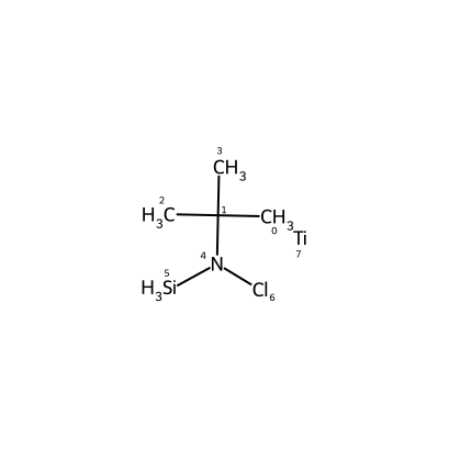 CC(C)(C)N([SiH3])Cl.[Ti]